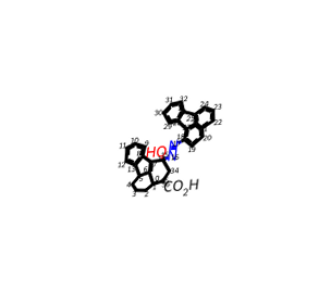 CC12CCCC3C1=C(c1ccccc13)C(O)(N=Nc1ccc3cccc4c3c1-c1ccccc1-4)CC2C(=O)O